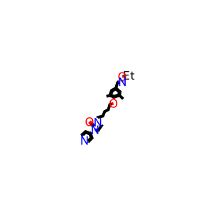 CCON=Cc1cc(C)c(OCCCCCN2CCN(c3ccncc3)C2=O)c(C)c1